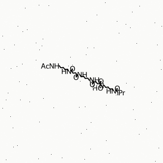 CC(=O)NCCCCCNC(=O)CCC(=O)NCCCCCNC(=O)CCC(=O)N(O)CCCCCNC(=O)C(C)C